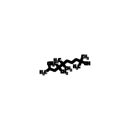 CC(O)CC(C)(C)C(C)(C)CCCC(C)(C)O